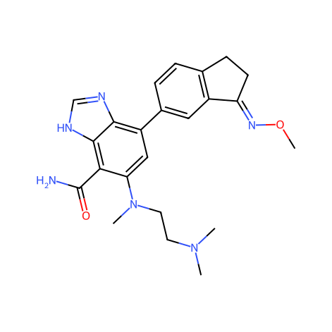 CO/N=C1\CCc2ccc(-c3cc(N(C)CCN(C)C)c(C(N)=O)c4[nH]cnc34)cc21